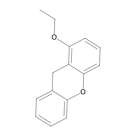 CCOc1cccc2c1Cc1ccccc1O2